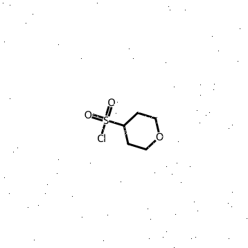 O=S(=O)(Cl)C1CCOCC1